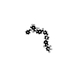 Cc1c(O)cc(O)c(C(=O)N2Cc3ccc(C(=O)N4CCC(CN5CCN(c6ccc7c(c6)CN(C6CCC(=O)NC6=O)C7=O)CC5)CC4)cc3C2)c1OCc1ccccc1